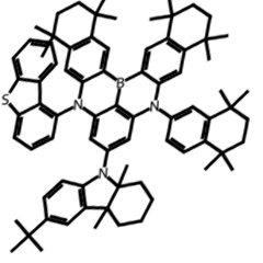 CC(C)(C)c1ccc2c(c1)C1(C)CCCCC1(C)N2c1cc2c3c(c1)N(c1cccc4sc5ccccc5c14)c1cc4c(cc1B3c1cc3c(cc1N2c1ccc2c(c1)C(C)(C)CCC2(C)C)C(C)(C)CCC3(C)C)C(C)(C)CCC4(C)C